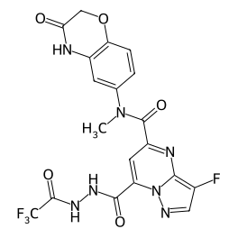 CN(C(=O)c1cc(C(=O)NNC(=O)C(F)(F)F)n2ncc(F)c2n1)c1ccc2c(c1)NC(=O)CO2